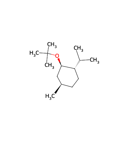 CC(C)[C@@H]1CC[C@@H](C)C[C@H]1OC(C)(C)C